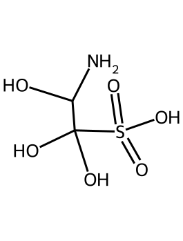 NC(O)C(O)(O)S(=O)(=O)O